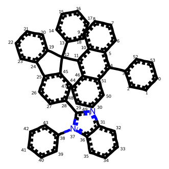 c1ccc(-c2c3ccccc3c(C3(c4ccccc4)c4ccccc4-c4ccc(-c5nc6ccccc6n5-c5ccccc5)cc43)c3ccccc23)cc1